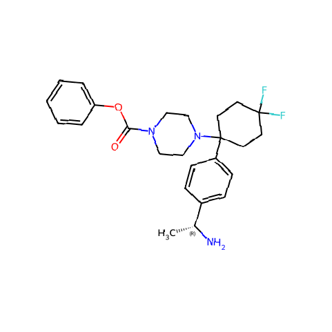 C[C@@H](N)c1ccc(C2(N3CCN(C(=O)Oc4ccccc4)CC3)CCC(F)(F)CC2)cc1